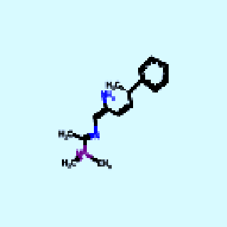 C=[PH](C)/C(C)=N/C=C(N)\C=C/[C@H](C)c1ccccc1